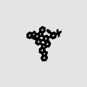 N#Cc1ccc(-n2c3ccccc3c3c4oc5ccccc5c4ccc32)c(-c2ccc(-c3ccc(C(F)(F)F)cc3C#N)cc2-n2c3ccccc3c3c4oc5ccccc5c4ccc32)c1